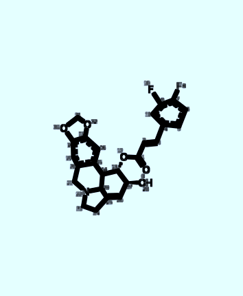 O=C(/C=C/c1ccc(F)c(F)c1)O[C@H]1C2c3cc4c(cc3CN3CCC(=C[C@@H]1O)C23)OCO4